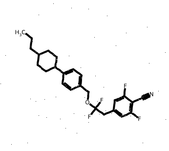 CCCC1CCC(c2ccc(COC(F)(F)Cc3cc(F)c(C#N)c(F)c3)cc2)CC1